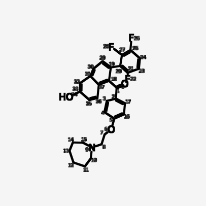 O=C(c1ccc(OCCN2CCCCCC2)cc1)c1c(-c2c(F)ccc(F)c2F)ccc2cc(O)ccc12